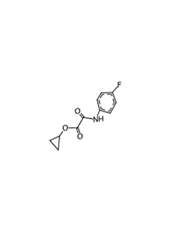 O=C(Nc1ccc(F)cc1)C(=O)OC1CC1